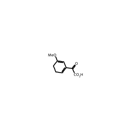 COC1=CC(C(=O)C(=O)O)=[C]CC1